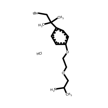 CC(N)COCCOc1ccc(C(C)(C)CC(C)(C)C)cc1.Cl